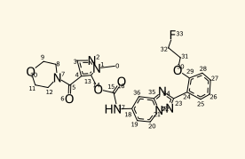 Cn1ncc(C(=O)N2CCOCC2)c1OC(=O)Nc1ccn2nc(-c3ccccc3OCCF)nc2c1